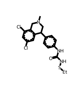 CCSNC(=O)Nc1ccc(C2CN(C)Cc3c(Cl)cc(Cl)cc32)cc1